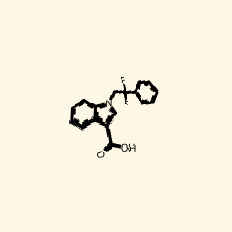 O=C(O)c1cn(CC(F)(F)c2ccccc2)c2ccccc12